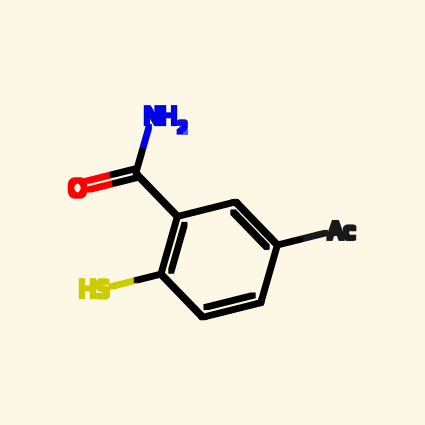 CC(=O)c1ccc(S)c(C(N)=O)c1